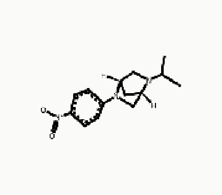 CC(C)N1C[C@@H]2C[C@H]1CN2c1ccc([N+](=O)[O-])cc1